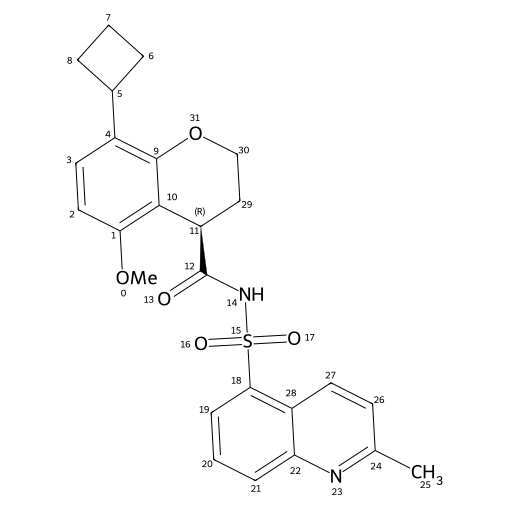 COc1ccc(C2CCC2)c2c1[C@H](C(=O)NS(=O)(=O)c1cccc3nc(C)ccc13)CCO2